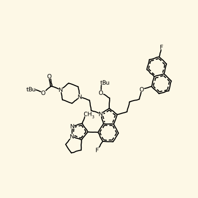 Cc1nn2c(c1-c1c(F)ccc3c(CCCOc4cccc5cc(F)ccc45)c(COC(C)(C)C)n(CCN4CCN(C(=O)OC(C)(C)C)CC4)c13)CCC2